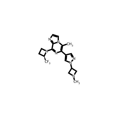 Cc1c(-c2cnn(C3CN(C)C3)c2)nc(N2CC[C@@H]2C(F)(F)F)c2nccn12